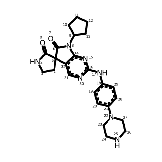 O=C1NCCC12C(=O)N(C1CCCC1)c1nc(Nc3ccc(N4CCNCC4)cc3)ncc12